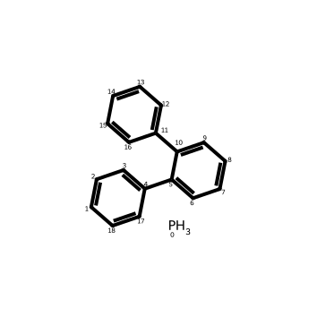 P.c1ccc(-c2ccccc2-c2ccccc2)cc1